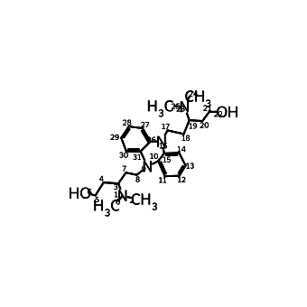 CN(C)C(CCO)CCN1c2ccccc2N(CCC(CCO)N(C)C)c2ccccc21